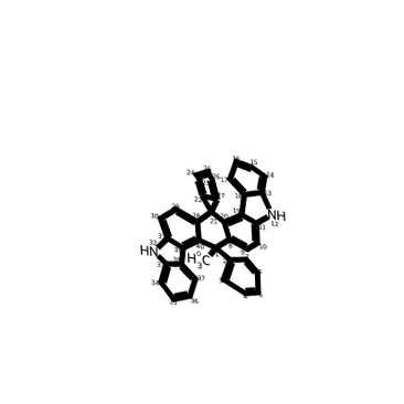 CC1(c2ccccc2)c2ccc3[nH]c4ccccc4c3c2C2(c3ccccc32)c2ccc3[nH]c4ccccc4c3c21